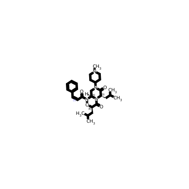 CC(C)C[C@H]1ON(C(=O)/C=C\c2ccccc2)[C@H]2CN(C3CCN(C)CC3)C(=O)[C@H](CC(C)C)N2C1=O